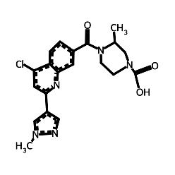 CC1CN(C(=O)O)CCN1C(=O)c1ccc2c(Cl)cc(-c3cnn(C)c3)nc2c1